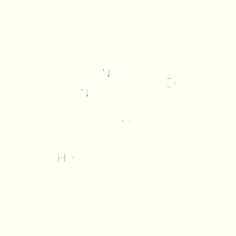 [CH2]Cc1nnc(C)o1